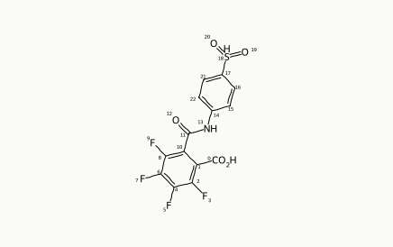 O=C(O)c1c(F)c(F)c(F)c(F)c1C(=O)Nc1ccc([SH](=O)=O)cc1